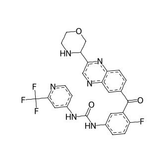 O=C(Nc1ccnc(C(F)(F)F)c1)Nc1ccc(F)c(C(=O)c2ccc3nc(C4COCCN4)cnc3c2)c1